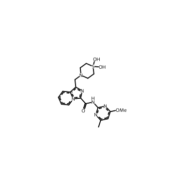 COc1cc(C)nc(NC(=O)c2nc(CN3CCS(O)(O)CC3)c3ccccn23)n1